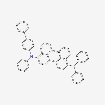 c1ccc(-c2ccc(N(c3ccccc3)c3ccc4c5ccc(C(c6ccccc6)c6ccccc6)c6cccc(c7cccc3c74)c65)cc2)cc1